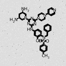 Cc1ccc(S(=O)(=O)N(Cc2ccccc2)c2ccc(Nc3nc(N4CCN(c5ccncc5)CC4)nc(N4C[C@H](N)C[C@H](N)C4)n3)cc2O)cc1